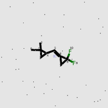 CC1(C)CC1/C=C1\CC1(F)F